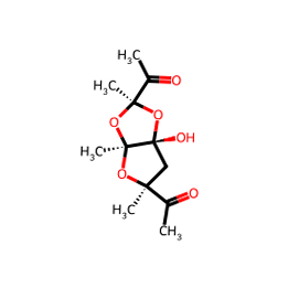 CC(=O)[C@]1(C)O[C@]2(C)O[C@](C)(C(C)=O)C[C@@]2(O)O1